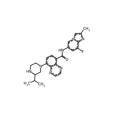 Cc1cn2cc(NC(=O)c3ccc(N4CCNC(C(C)C)C4)c4nccnc34)cc(F)c2n1